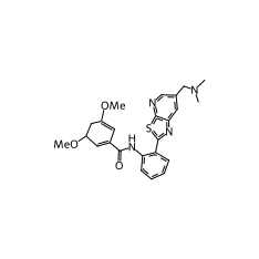 COC1=CC(C(=O)Nc2ccccc2-c2nc3cc(CN(C)C)cnc3s2)=CC(OC)C1